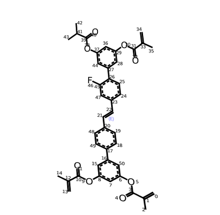 C=C(C)C(=O)Oc1cc(OC(=O)C(=C)C)cc(-c2ccc(/C=C/c3ccc(-c4cc(OC(=O)C(=C)C)cc(OC(=O)C(C)C)c4)c(F)c3)cc2)c1